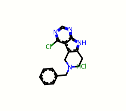 Cl.Clc1ncnc2[nH]c3c(c12)CN(Cc1ccccc1)CC3